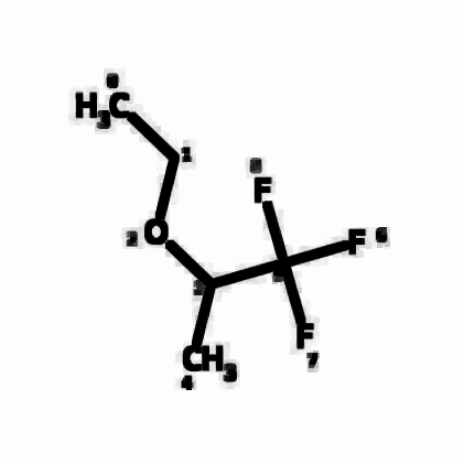 CCOC(C)C(F)(F)F